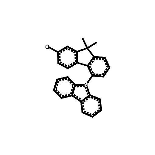 CC1(C)c2cc(Cl)ccc2-c2c(-n3c4ccccc4c4ccccc43)cccc21